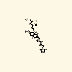 CCCC[C@H](C)C[C@H](O)/C=C/[C@@H]1[C@H]2CC(CNCCCN3CCCC3)=C[C@H]2C[C@H]1O